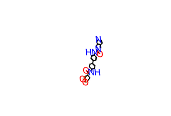 O=C(NC1CC=C(c2ccc(NC(=O)N3Cc4ccncc4C3)cc2)CC1)C1CCS(=O)(=O)C1